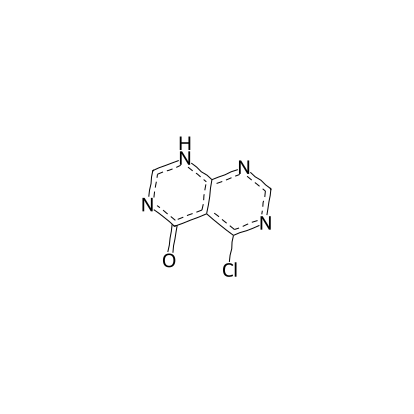 O=c1nc[nH]c2ncnc(Cl)c12